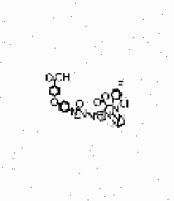 CCN(CCN1CCN(c2ccc(Oc3ccc(C(=O)O)cc3)cc2)C1=O)CC1=C(C(=O)OC)C(c2ccc(F)cc2Cl)N=C(c2nccn2C)N1